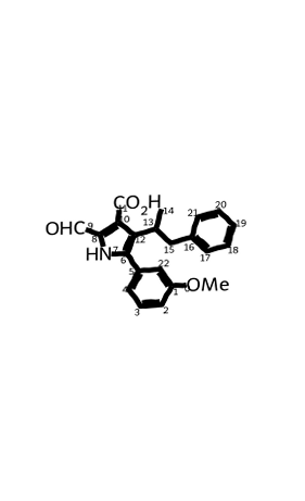 COc1cccc(-c2[nH]c(C=O)c(C(=O)O)c2C(C)Cc2ccccc2)c1